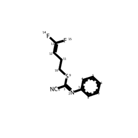 N#CC(=Nc1ccccc1)SCCC=C(F)F